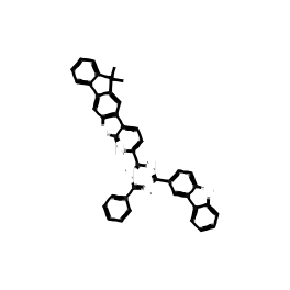 CC1(C)c2ccccc2-c2cc3oc4nc(-c5nc(-c6ccccc6)nc(-c6ccc7oc8ccccc8c7c6)n5)ccc4c3cc21